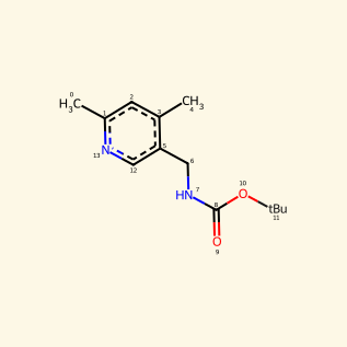 Cc1cc(C)c(CNC(=O)OC(C)(C)C)cn1